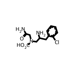 NC(=O)CN(CC(N)Cc1ccccc1Cl)C(=O)O